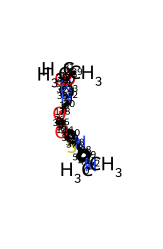 CN(C)c1ccc(-c2nc3ccc(O[C@H]4C[C@H](OCCCN5CCN(C(=O)OC(C)(C)C)CC5)C4)cc3s2)cc1